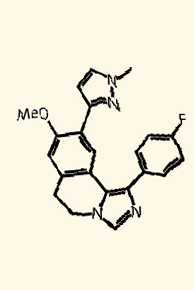 COc1cc2c(cc1-c1ccn(C)n1)-c1c(-c3ccc(F)cc3)ncn1CC2